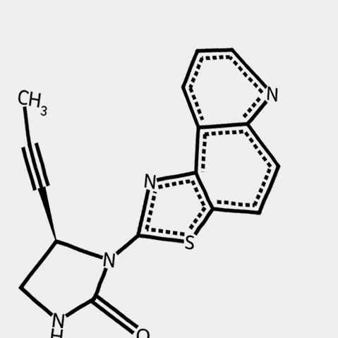 CC#C[C@@H]1CNC(=O)N1c1nc2c(ccc3ncccc32)s1